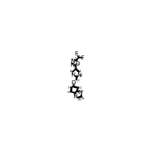 FC(F)c1nnc(-c2cnc(COc3ccc4nccnc4c3)nc2)o1